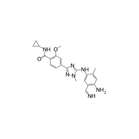 COc1cc(-c2nc(Nc3cc(C=N)c(N)cc3C)n(C)n2)ccc1C(=O)NC1CC1